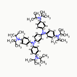 CC(C)N(c1ccc([N+](=C2C=CC(=[N+](c3ccc(N(C(C)C)C(C)C)cc3)c3ccc(N(C(C)C)C(C)C)cc3)C=C2)c2ccc(N(C(C)C)C(C)C)cc2)cc1)C(C)C